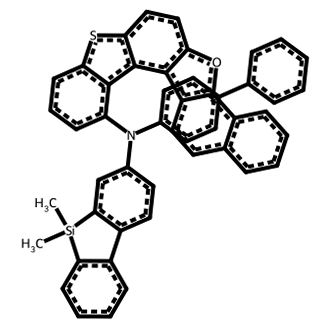 C[Si]1(C)c2ccccc2-c2ccc(N(c3ccc(-c4ccccc4)cc3)c3cccc4sc5ccc6oc7c8ccccc8ccc7c6c5c34)cc21